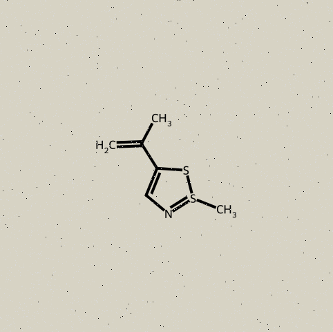 C=C(C)C1=CN=S(C)S1